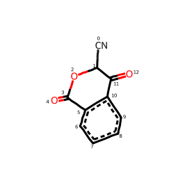 N#CC1OC(=O)c2ccccc2C1=O